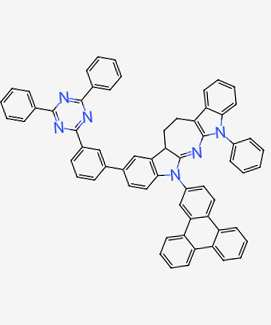 c1ccc(-c2nc(-c3ccccc3)nc(-c3cccc(-c4ccc5c(c4)C4CCc6c(n(-c7ccccc7)c7ccccc67)N=C4N5c4ccc5c6ccccc6c6ccccc6c5c4)c3)n2)cc1